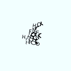 CCC(C)n1cc(C(=O)O)c(=O)c2c(N)c(F)c(NCCCOC(C)C)c(F)c21